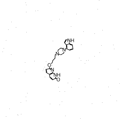 O=c1ccc2ccc(OCCCCN3CCN(c4cccc5[nH]ccc45)CC3)nc2[nH]1